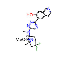 CO[C@@H]1[C@@H](N(C)c2cnc(-c3cc4ccncc4cc3O)nn2)CC2N[C@]1(C)CC2(F)F